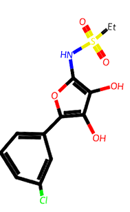 CCS(=O)(=O)Nc1oc(-c2cccc(Cl)c2)c(O)c1O